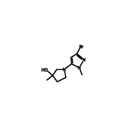 Cn1nc(Br)cc1N1CCC(C)(O)C1